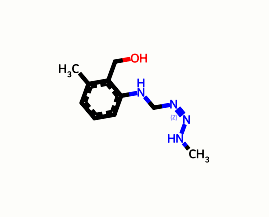 CN/N=N\CNc1cccc(C)c1CO